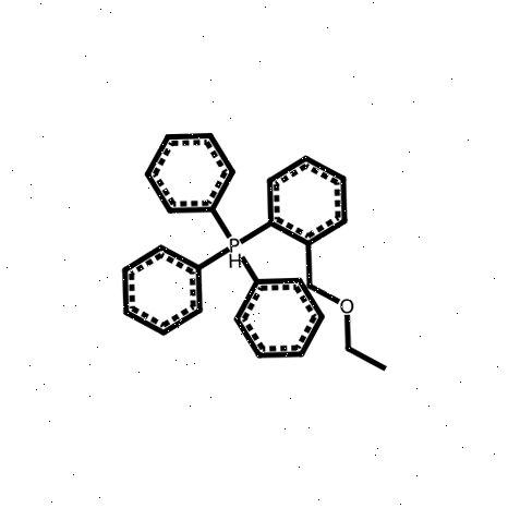 CCOCc1ccccc1[PH](c1ccccc1)(c1ccccc1)c1ccccc1